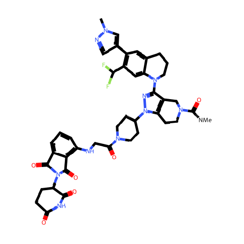 CNC(=O)N1CCc2c(c(N3CCCc4cc(-c5cnn(C)c5)c(C(F)F)cc43)nn2C2CCN(C(=O)CNc3cccc4c3C(=O)N(C3CCC(=O)NC3=O)C4=O)CC2)C1